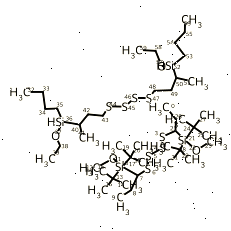 CCC(SSSSC(CC)[Si](OC)(C(C)(C)C)C(C)(C)C)[Si](OC)(C(C)(C)C)C(C)(C)C.CCCC[SiH](OCC)C(C)CCSSSSCCC(C)[SiH](CCCC)OCC